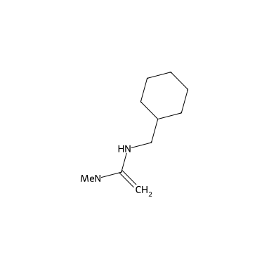 C=C(NC)NCC1CCCCC1